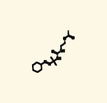 CC(=O)OCCNC(=O)NC(C)(C)N=NC1CCCCC1